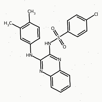 Cc1ccc(Nc2nc3ccccc3nc2NS(=O)(=O)c2ccc(Cl)cc2)cc1C